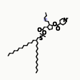 CC/C=C\CC1C(CC(=O)OC(C)(C)SCC(CCCCCCCCCCCC)CCCCCCCCCCCC)CCC1OC(=O)C1CCN(C)CC1